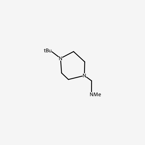 CNCN1CCN(C(C)(C)C)CC1